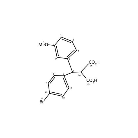 COc1cccc(C(c2ccc(Br)cc2)C(C(=O)O)C(=O)O)c1